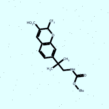 CC(C)(C)OC(=O)NCC(C)(C)c1ccc2c(c1)OC(C(F)(F)F)C(C(=O)O)=C2